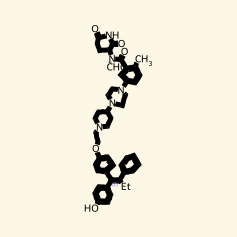 CC/C(=C(\c1ccc(O)cc1)c1ccc(OCCN2CCC(N3CCN(c4ccc(C)c(C(=O)N(C=O)C5CCC(=O)NC5=O)c4)CC3)CC2)cc1)c1ccccc1